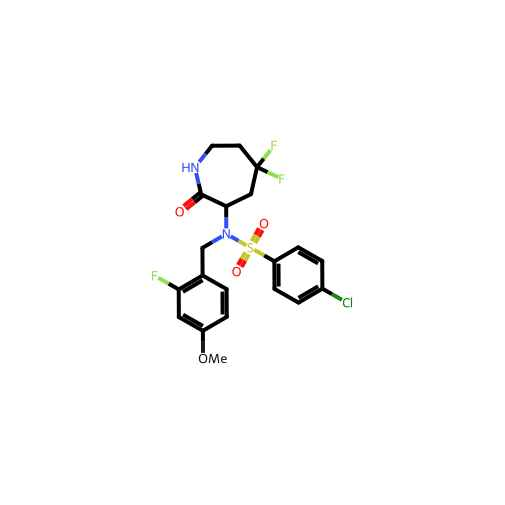 COc1ccc(CN(C2CC(F)(F)CCNC2=O)S(=O)(=O)c2ccc(Cl)cc2)c(F)c1